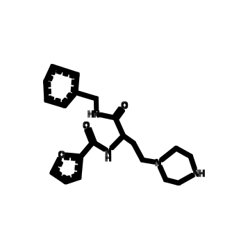 O=C(NC(CCN1CCNCC1)C(=O)NCc1ccccc1)c1ccco1